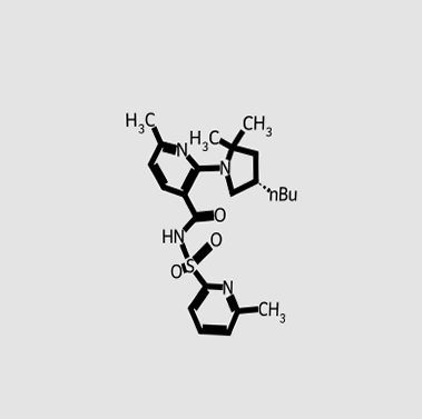 CCCC[C@@H]1CN(c2nc(C)ccc2C(=O)NS(=O)(=O)c2cccc(C)n2)C(C)(C)C1